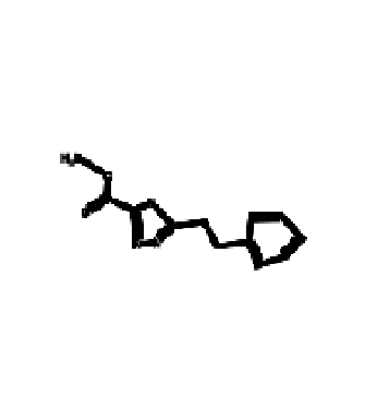 BOC(=O)c1nnc(CCc2ccccc2)s1